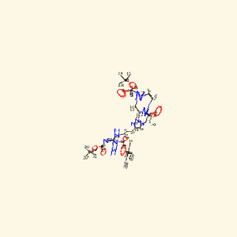 C[C@@H](C(=O)N1CCN(C(=O)OC(C)(C)C)CC1)n1cc(CCCN/C(=N/C(=O)OC(C)(C)C)NC(=O)OC(C)(C)C)nn1